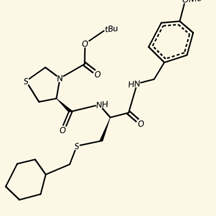 COc1ccc(CNC(=O)[C@@H](CSCC2CCCCC2)NC(=O)[C@H]2CSCN2C(=O)OC(C)(C)C)cc1